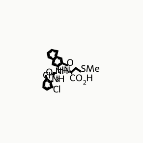 CSCC[C@H](NC(=O)c1cc2ccccc2cc1NC(=O)Nc1c(C)cccc1Cl)C(=O)O